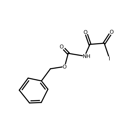 O=C(NC(=O)C(=O)I)OCc1ccccc1